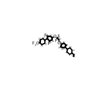 C=CC1CCC(c2ccc(OCC(F)(F)Oc3cc(F)c(C4CC=C(C(F)(F)F)CC4)c(F)c3)cc2)CC1